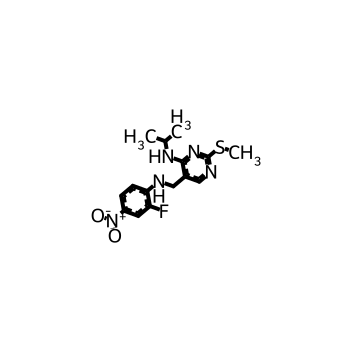 CSc1ncc(CNc2ccc([N+](=O)[O-])cc2F)c(NC(C)C)n1